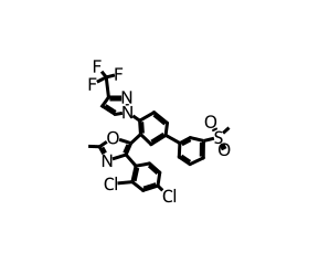 Cc1nc(-c2ccc(Cl)cc2Cl)c(-c2cc(-c3cccc(S(C)(=O)=O)c3)ccc2-n2ccc(C(F)(F)F)n2)o1